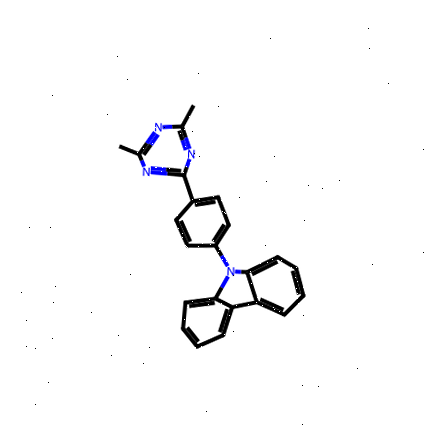 Cc1nc(C)nc(-c2ccc(-n3c4ccccc4c4ccccc43)cc2)n1